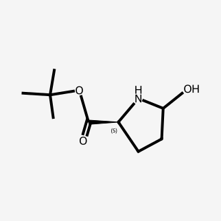 CC(C)(C)OC(=O)[C@@H]1CCC(O)N1